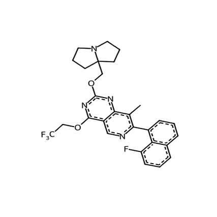 Cc1c(-c2cccc3cccc(F)c23)ncc2c(OCC(F)(F)F)nc(OCC34CCCN3CCC4)nc12